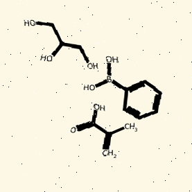 C=C(C)C(=O)O.OB(O)c1ccccc1.OCC(O)CO